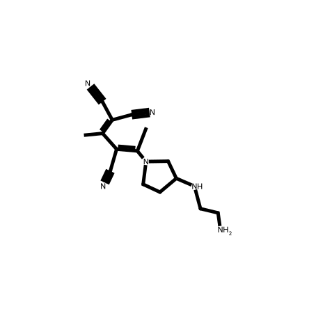 CC(=C(C#N)C#N)/C(C#N)=C(\C)N1CCC(NCCN)C1